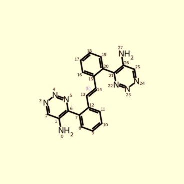 Nc1cnnnc1-c1ccccc1/C=C/c1ccccc1-c1nnncc1N